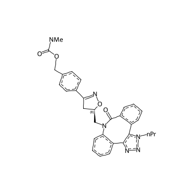 CCCn1nnc2c1-c1ccccc1C(=O)N(C[C@H]1CC(c3ccc(COC(=O)NC)cc3)=NO1)c1ccccc1-2